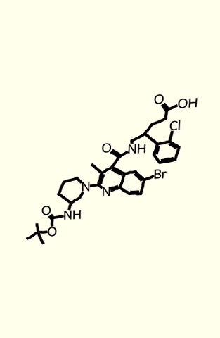 Cc1c(N2CCCC(NC(=O)OC(C)(C)C)C2)nc2ccc(Br)cc2c1C(=O)NCC(CCC(=O)O)c1ccccc1Cl